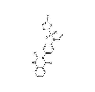 O=CN(c1ccc(-n2c(=O)[nH]c3ccccc3c2=O)cc1)S(=O)(=O)c1ccc(Cl)s1